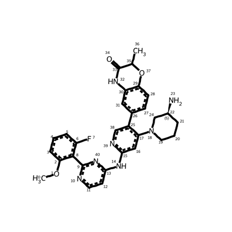 COc1cccc(F)c1-c1nccc(Nc2cc(N3CCC[C@H](N)C3)c(-c3ccc4c(c3)NC(=O)C(C)O4)cn2)n1